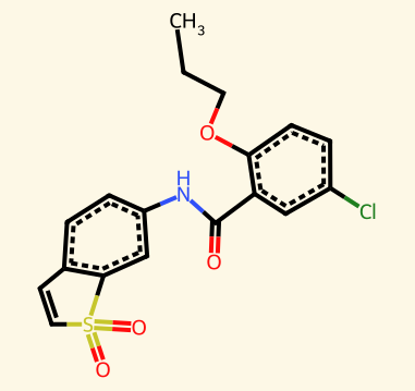 CCCOc1ccc(Cl)cc1C(=O)Nc1ccc2c(c1)S(=O)(=O)C=C2